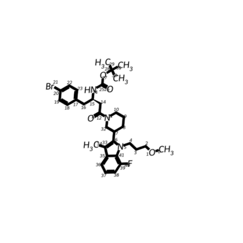 COCCCn1c(C2CCCN(C(=O)C[C@@H](Cc3ccc(Br)cc3)NC(=O)OC(C)(C)C)C2)c(C)c2cccc(F)c21